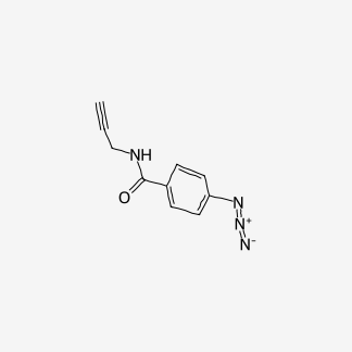 C#CCNC(=O)c1ccc(N=[N+]=[N-])cc1